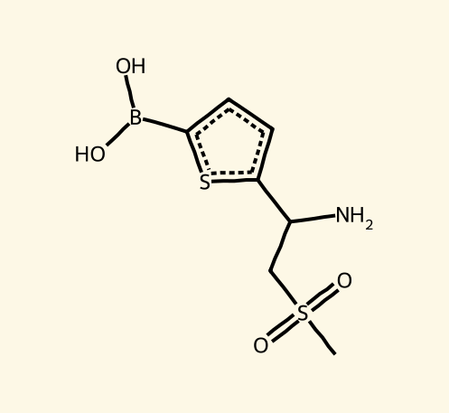 CS(=O)(=O)CC(N)c1ccc(B(O)O)s1